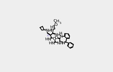 COCCNC(=N)/C(=C\NC1CCC1)C(=N)OC(=N)NC1N=C(c2ccccc2)c2ccccc2NC1=O